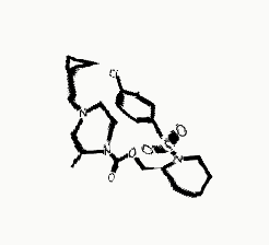 C[C@H]1CN(CC2CC2)CCN1C(=O)OC[C@@H]1CCCCN1S(=O)(=O)c1ccc(Cl)cc1